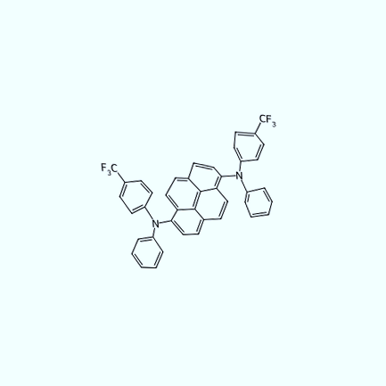 FC(F)(F)c1ccc(N(c2ccccc2)c2ccc3ccc4c(N(c5ccccc5)c5ccc(C(F)(F)F)cc5)ccc5ccc2c3c54)cc1